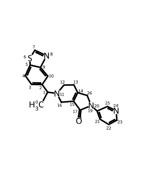 CC(c1ccc2scnc2c1)N1CCC2=C(C1)C(=O)N(c1cccnc1)C2